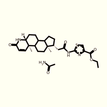 CC(N)=O.CCOC(=O)c1csc(NC(=O)C[C@H]2CCC3C4CC[C@H]5NC(=O)C=C[C@]5(C)C4CC[C@@]32C)n1